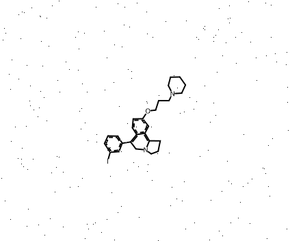 Ic1cccc(C2=c3ccc(OCCCN4CCCCC4)cc3=C3CCCN3C2)c1